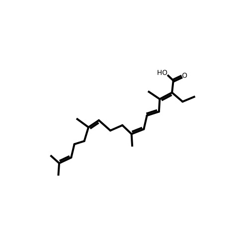 CCC(C(=O)O)=C(C)C=CC=C(C)CCC=C(C)CCC=C(C)C